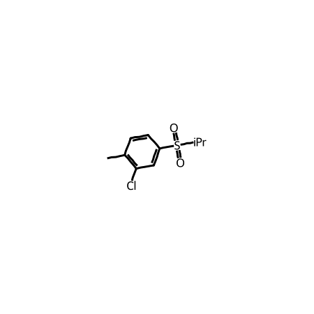 Cc1ccc(S(=O)(=O)C(C)C)cc1Cl